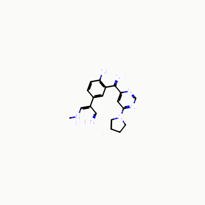 CN/C=C(\C=N)c1ccc(N)c(C(=N)c2cc(N3CC[C@H](C)C3)ncn2)c1